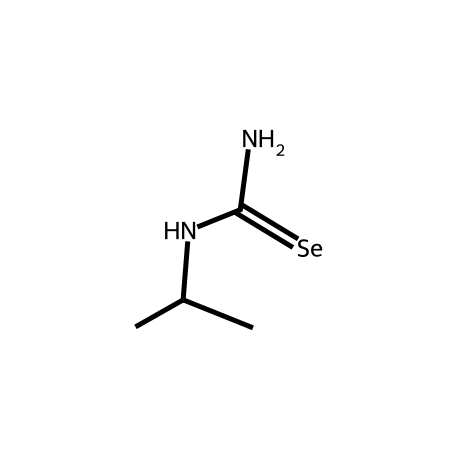 CC(C)NC(N)=[Se]